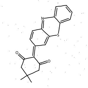 CC1(C)CC(=O)C(=c2ccc3c(c2)Sc2ccccc2N=3)C(=O)C1